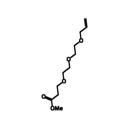 C=CCOCCOCCOCCC(=O)OC